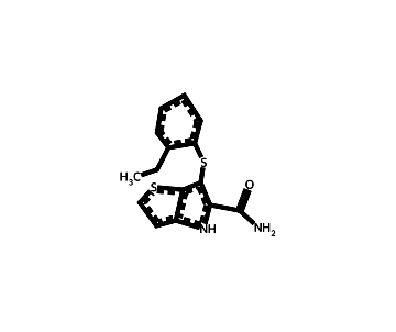 CCc1ccccc1Sc1c(C(N)=O)[nH]c2ccsc12